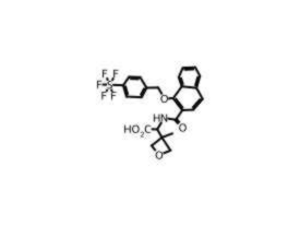 CC1(C(NC(=O)c2ccc3ccccc3c2OCc2ccc(S(F)(F)(F)(F)F)cc2)C(=O)O)COC1